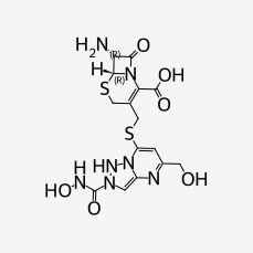 N[C@@H]1C(=O)N2C(C(=O)O)=C(CSC3=CC(CO)=NC4=CN(C(=O)NO)NN43)CS[C@H]12